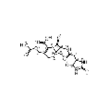 CC(=O)OCC1=C(C(=O)O)N2C(=O)[C@@H](NC(=O)CC3NC(=O)NC3=O)[C@H]2SC1